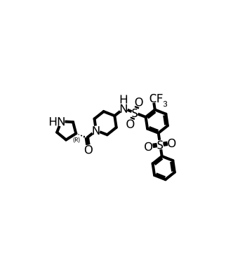 O=C([C@@H]1CCNC1)N1CCC(NS(=O)(=O)c2cc(S(=O)(=O)c3ccccc3)ccc2C(F)(F)F)CC1